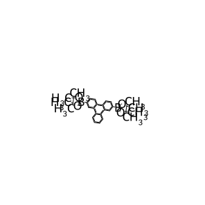 CC1(C)OB(c2ccc3c4ccc(B5OC(C)(C)C(C)(C)O5)cc4c4ccccc4c3c2)OC1(C)C